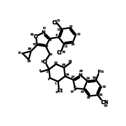 CCC1CC(C)(OCc2c(-c3c(Cl)cccc3Cl)noc2C2CC2)CC(C)C1c1nc2c(F)cc(C#N)cc2s1